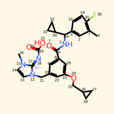 Cc1cc(C(NC(=O)c2cc(Cn3ccn(C)/c3=N\C(=O)O)cc(OCC3CC3)c2)C2CC2)ccc1F